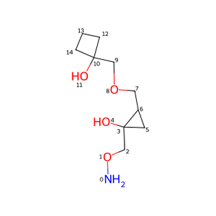 NOCC1(O)CC1COCC1(O)CCC1